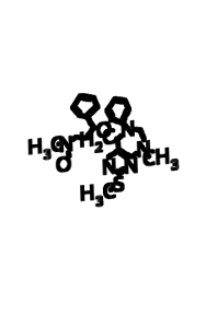 C=C1c2cnc(SC)nc2N(C)CCN1c1ccccc1OC(CCN(C)C=O)c1ccccc1